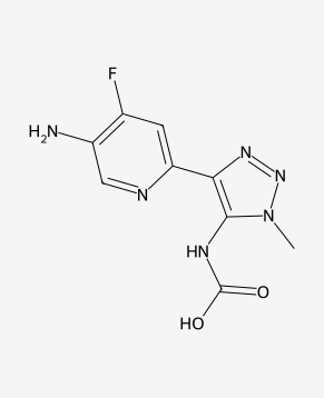 Cn1nnc(-c2cc(F)c(N)cn2)c1NC(=O)O